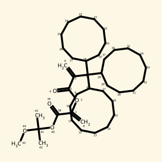 C=C(OC(=O)C(=C)C(C1CCCCCCCCC1)(C1CCCCCCCCC1)C1CCCCCCCCC1)C(=O)OC(C)(C)OC